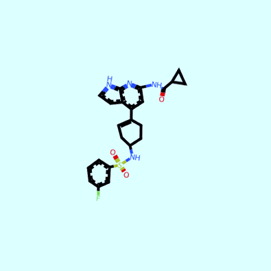 O=C(Nc1cc(C2=CCC(NS(=O)(=O)c3cccc(F)c3)CC2)c2cc[nH]c2n1)C1CC1